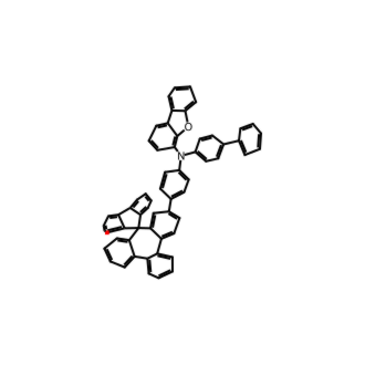 c1ccc(-c2ccc(N(c3ccc(-c4ccc5c(c4)C4(c6ccccc6-c6ccccc6-5)c5ccccc5-c5ccccc54)cc3)c3cccc4c3oc3ccccc34)cc2)cc1